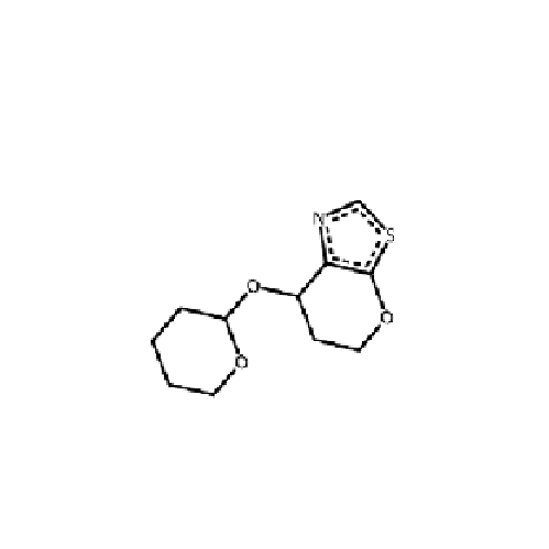 c1nc2c(s1)OCCC2OC1CCCCO1